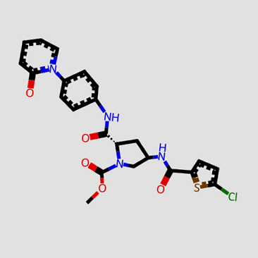 COC(=O)N1CC(NC(=O)c2ccc(Cl)s2)C[C@H]1C(=O)Nc1ccc(-n2ccccc2=O)cc1